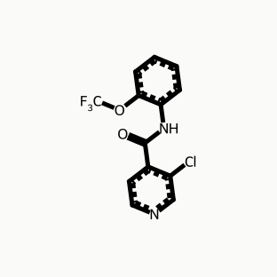 O=C(Nc1ccccc1OC(F)(F)F)c1ccncc1Cl